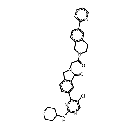 O=C(CN1Cc2ccc(-c3nc(NC4CCOCC4)ncc3Cl)cc2C1=O)N1CCc2cc(-c3ncccn3)ccc2C1